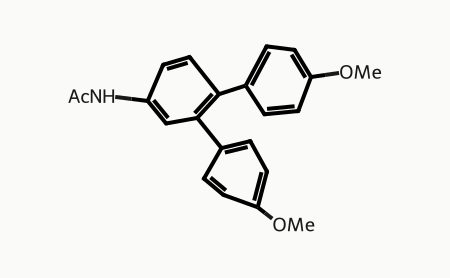 COc1ccc(-c2ccc(NC(C)=O)cc2-c2ccc(OC)cc2)cc1